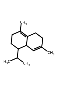 CC1=CC2C(=C(C)CCC2C(C)C)CC1